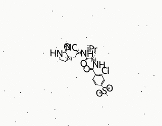 CC(C)C[C@H](NC(=O)c1ccc(S(C)(=O)=O)cc1Cl)C(=O)N[C@H](C#N)C[C@@H]1CCNC1=O